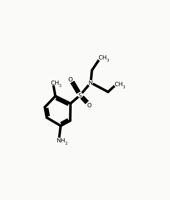 CCN(CC)S(=O)(=O)c1cc(N)ccc1C